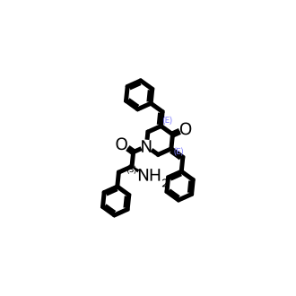 N[C@@H](Cc1ccccc1)C(=O)N1C/C(=C\c2ccccc2)C(=O)/C(=C/c2ccccc2)C1